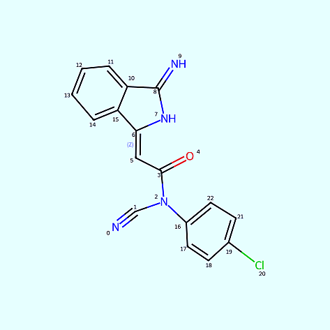 N#CN(C(=O)/C=C1\NC(=N)c2ccccc21)c1ccc(Cl)cc1